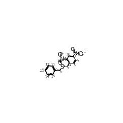 O=[N+]([O-])c1ccc(CSCc2ccccc2)c([N+](=O)[O-])c1